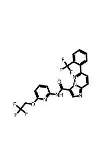 O=C(Nc1cccc(OCC(F)(F)F)n1)c1cnc2ccc(-c3ccccc3C(F)(F)F)nn12